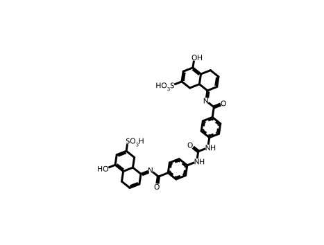 O=C(Nc1ccc(C(=O)N=C2C=CCC3=C(O)C=C(S(=O)(=O)O)CC23)cc1)Nc1ccc(C(=O)N=C2C=CCC3=C(O)C=C(S(=O)(=O)O)CC23)cc1